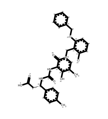 Cc1ccc([C@H](CC(=O)O)NC(=O)Nc2c(O)c(C)cn(Cc3c(Cl)cccc3OCc3ccccc3)c2=O)cc1